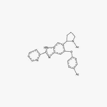 CC(=O)c1ccc(Oc2cc3nc(-c4ccccn4)[nH]c3cc2C2CCCN2C(C)=O)cc1